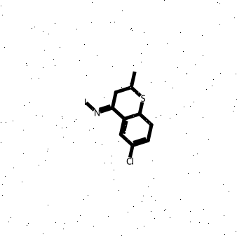 CC1C/C(=N\I)C2=CC(Cl)=CCC2S1